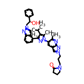 Cc1nc2nn(CCCN3CCCC3=O)cc2cc1-n1nc(-c2cccc3nn(C[C@H](O)c4ccccc4)cc23)c(C(C)C)c1C